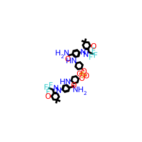 CC1(C)CC(=O)c2c(C(F)(F)F)nn(-c3ccc(C(N)=O)c(N[C@H]4CC[C@H](OS(=O)(=O)O[C@H]5CC[C@H](Nc6cc(-n7nc(C(F)(F)F)c8c7CC(C)(C)CC8=O)ccc6C(N)=O)CC5)CC4)c3)c2C1